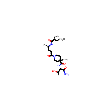 CN[C@@H](CC(=O)O)C(=O)N[C@@H](CCC(=O)N1CCC(NC)(C(=O)N[C@H](C(N)=O)[C@@H](C)O)CC1)C(C)=O